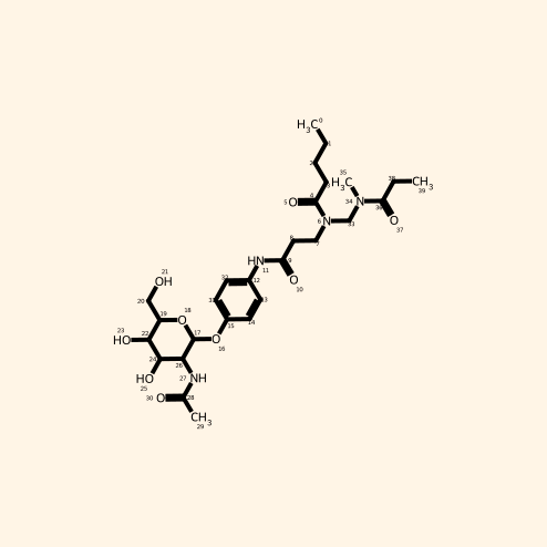 CCCCC(=O)N(CCC(=O)Nc1ccc(OC2OC(CO)C(O)C(O)C2NC(C)=O)cc1)CN(C)C(=O)CC